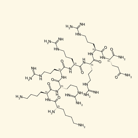 N=C(N)NCCC[C@H](NC(=O)[C@H](CCCNC(=N)N)NC(=O)[C@H](CCCNC(=N)N)NC(=O)[C@H](CCCNC(=N)N)NC(=O)[C@H](CCCNC(=N)N)NC(=O)[C@H](CCCCN)NC(=O)[C@@H](N)CCCCN)C(=O)N[C@@H](CCC(N)=O)C(N)=O